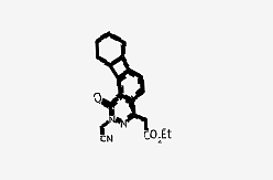 CCOC(=O)Cc1nn(CC#N)c(=O)c2c3c(ccc12)C1CCCCC31